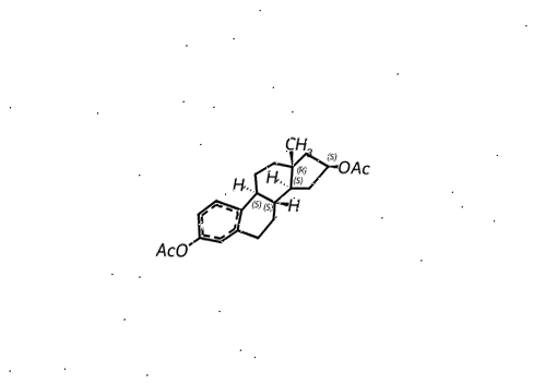 CC(=O)Oc1ccc2c(c1)CC[C@@H]1[C@@H]2CC[C@]2(C)C[C@@H](OC(C)=O)C[C@@H]12